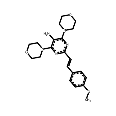 COc1ccc(C=Cc2nc(N3CCOCC3)c(N)c(N3CCOCC3)n2)cc1